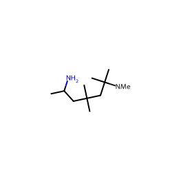 CNC(C)(C)CC(C)(C)CC(C)N